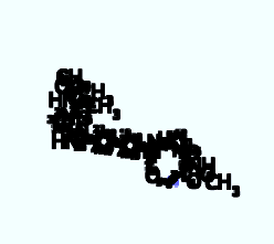 COC(=O)N[C@H]1C/C=C/COCc2[nH]c(nc2-c2ccc(-c3ccc(-c4c[nH]c([C@@H]5CCCN5C(=O)[C@@H](NC(=O)OC)C(C)C)n4)cc3)cc2)[C@@H]2CCCN2C1=O